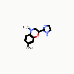 COc1ccc2c(c1)OC(C1=NCCN1)CN2C